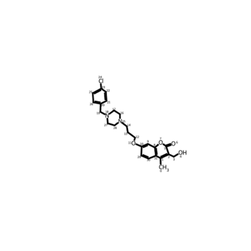 Cc1c(CO)c(=O)oc2cc(OCCCN3CCN(Cc4ccc(Cl)cc4)CC3)ccc12